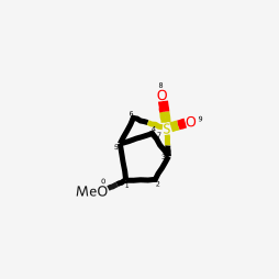 COC1CC2CC1CS2(=O)=O